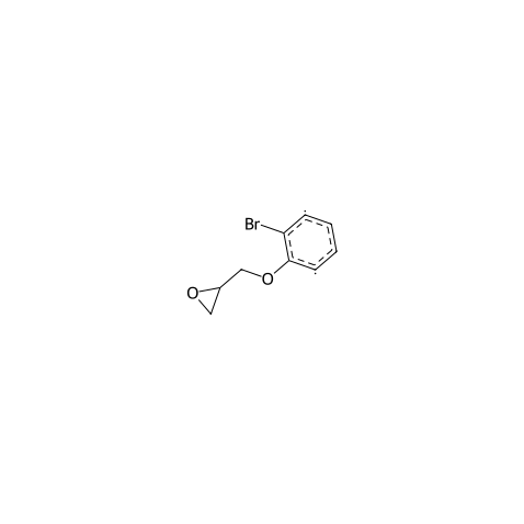 Brc1[c]cc[c]c1OCC1CO1